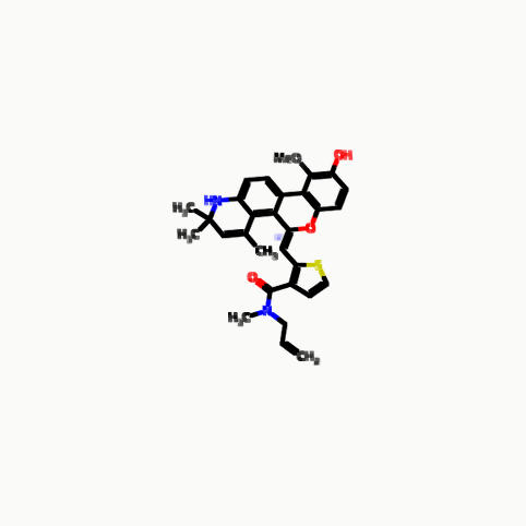 C=CCN(C)C(=O)c1ccsc1/C=C1\Oc2ccc(O)c(OC)c2-c2ccc3c(c21)C(C)=CC(C)(C)N3